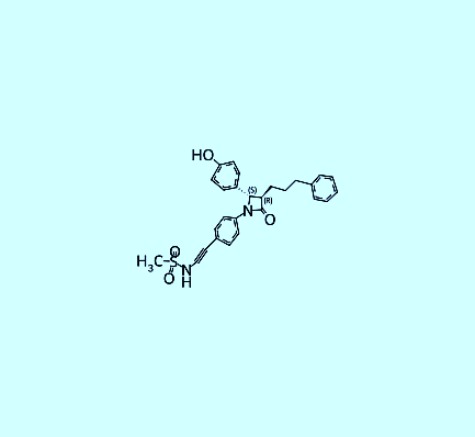 CS(=O)(=O)NC#Cc1ccc(N2C(=O)[C@H](CCCc3ccccc3)[C@H]2c2ccc(O)cc2)cc1